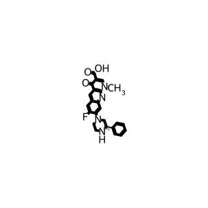 Cn1cc(C(=O)O)c(=O)c2cc3cc(F)c(N4CCN[C@H](c5ccccc5)C4)cc3nc21